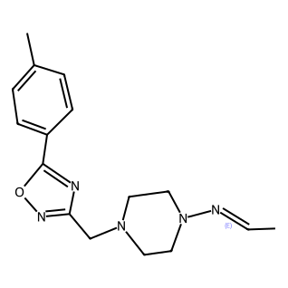 C/C=N/N1CCN(Cc2noc(-c3ccc(C)cc3)n2)CC1